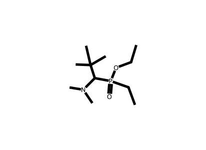 CCOP(=O)(CC)C(N(C)C)C(C)(C)C